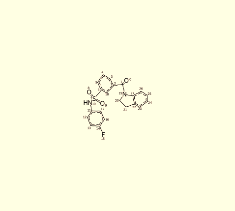 O=C(c1cccc(S(=O)(=O)Nc2ccc(F)cc2)c1)N1CCc2ccccc21